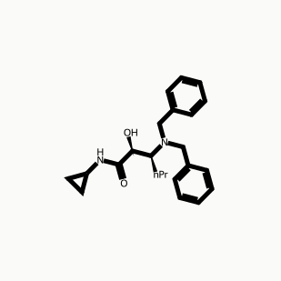 CCC[C@@H]([C@H](O)C(=O)NC1CC1)N(Cc1ccccc1)Cc1ccccc1